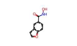 O=C(NO)c1ccc2occc2c1